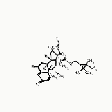 C[C@@H]1C[C@H]2[C@@H]3C[C@H](F)C4=CC(=O)C=C[C@]4(C)C3(F)[C@@H](O)C[C@]2(C)[C@]1(OC(=O)OCC1C(C)(C)C1(C)C)C(=O)OCF